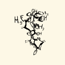 CCC(O)(CC)P(=O)(O)OC(C)CC1O[C@@H](n2cnc3c(Cl)ncnc32)[C@H](O)[C@@H]1O